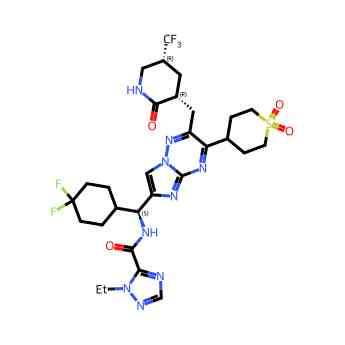 CCn1ncnc1C(=O)N[C@H](c1cn2nc(C[C@H]3C[C@@H](C(F)(F)F)CNC3=O)c(C3CCS(=O)(=O)CC3)nc2n1)C1CCC(F)(F)CC1